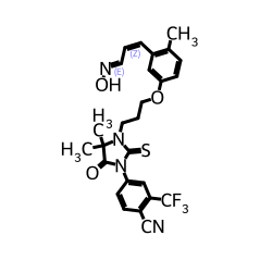 Cc1ccc(OCCCN2C(=S)N(c3ccc(C#N)c(C(F)(F)F)c3)C(=O)C2(C)C)cc1/C=C\C=N\O